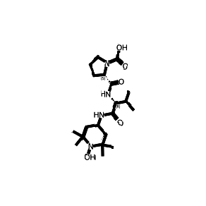 CC(C)[C@@H](NC(=O)[C@@H]1CCCN1C(=O)O)C(=O)NC1CC(C)(C)N(O)C(C)(C)C1